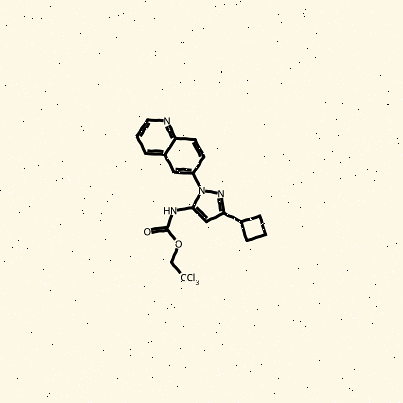 O=C(Nc1cc(C2CCC2)nn1-c1ccc2ncccc2c1)OCC(Cl)(Cl)Cl